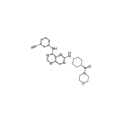 C#Cc1cccc(Nc2ncnc3cnc(N[C@H]4CC[C@H](C(=O)N5CCOCC5)CC4)nc23)c1